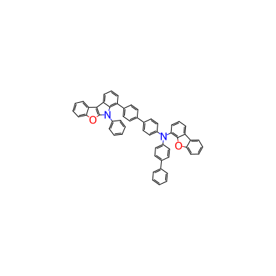 c1ccc(-c2ccc(N(c3ccc(-c4ccc(-c5cccc6c7c8ccccc8oc7n(-c7ccccc7)c56)cc4)cc3)c3cccc4c3oc3ccccc34)cc2)cc1